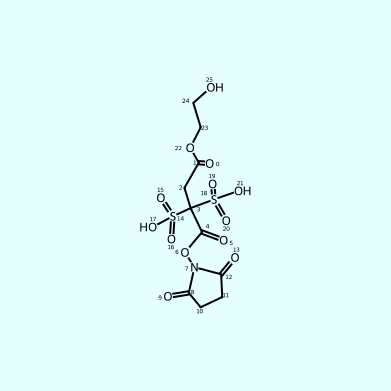 O=C(CC(C(=O)ON1C(=O)CCC1=O)(S(=O)(=O)O)S(=O)(=O)O)OCCO